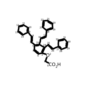 O=C(O)COc1ccc(C=Cc2ccccc2)c(C=Cc2ccccc2)c1C=Cc1ccccc1